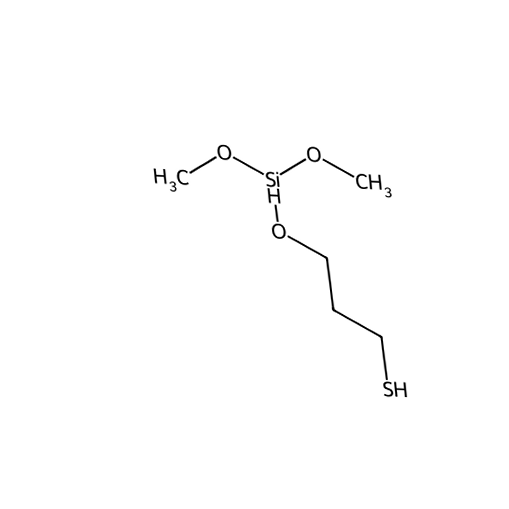 CO[SiH](OC)OCCCS